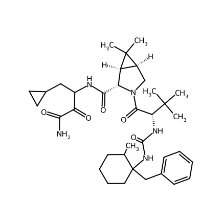 CC1CCCCC1(Cc1ccccc1)NC(=O)N[C@H](C(=O)N1C[C@H]2[C@@H]([C@H]1C(=O)NC(CC1CC1)C(=O)C(N)=O)C2(C)C)C(C)(C)C